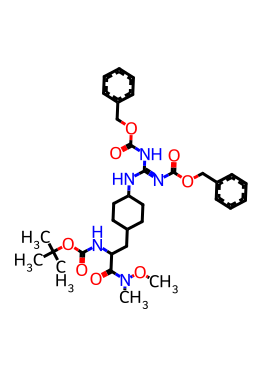 CON(C)C(=O)C(CC1CCC(NC(=NC(=O)OCc2ccccc2)NC(=O)OCc2ccccc2)CC1)NC(=O)OC(C)(C)C